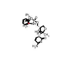 CC(C)OC(=O)[C@@H](C)NP(=O)(OC[C@]12CO[C@](C)([C@@H]1O)[C@H](n1ccc(N)nc1=O)O2)Oc1ccccc1